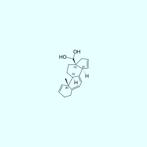 C[C@]12C=CCCC1=CC=C1[C@@H]3C=CC[C@@]3(C(O)O)CC[C@@H]12